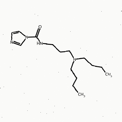 CCCCN(CCCC)CCCNC(=O)n1ccnc1